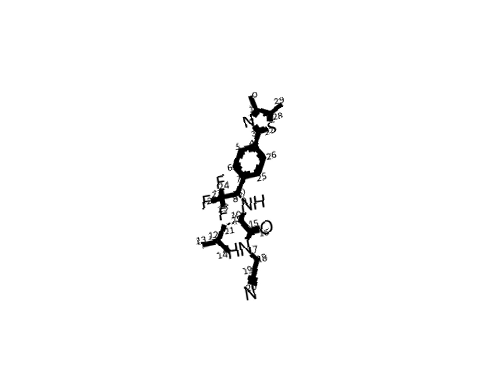 Cc1nc(-c2ccc([C@H](N[C@@H](CC(C)C)C(=O)NCC#N)C(F)(F)F)cc2)sc1C